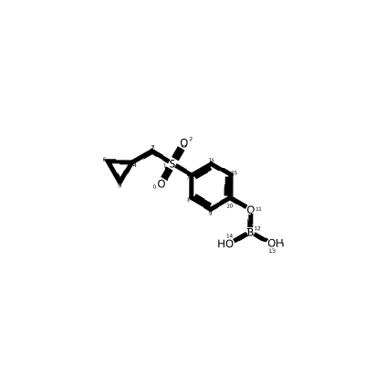 O=S(=O)(CC1CC1)c1ccc(OB(O)O)cc1